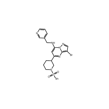 CC(C)S(=O)(=O)N1CCCC(c2cc(NCc3cccnc3)n3ncc(Br)c3n2)C1